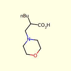 CCCCC(CN1CCOCC1)C(=O)O